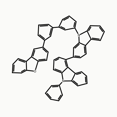 c1ccc(-n2c3ccccc3c3c(-c4ccc5c6ccccc6n(-c6cccc(-c7cccc(-c8ccc9oc%10ccccc%10c9c8)c7)c6)c5c4)cccc32)cc1